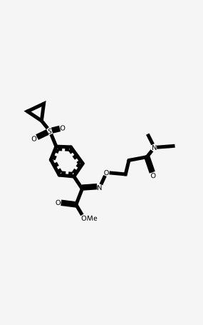 COC(=O)/C(=N/OCCC(=O)N(C)C)c1ccc(S(=O)(=O)C2CC2)cc1